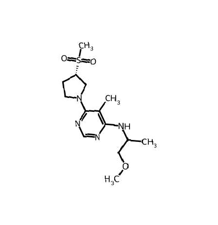 COCC(C)Nc1ncnc(N2CC[C@H](S(C)(=O)=O)C2)c1C